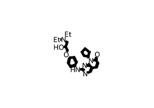 CCN(CC)CC(O)COc1ccc(Nc2ncc3ccc(=O)n(C4CCCC4)c3n2)cc1